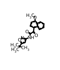 COc1ccc(C(=O)C(=O)Nc2cc(C(C)(C)C)on2)c2ccccc12